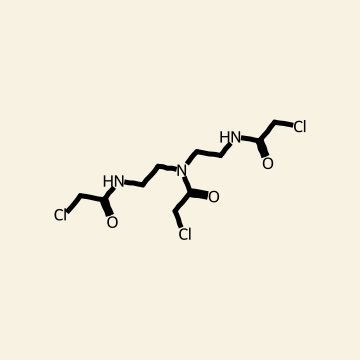 O=C(CCl)NCCN(CCNC(=O)CCl)C(=O)CCl